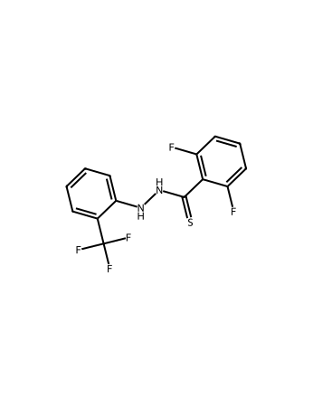 Fc1cccc(F)c1C(=S)NNc1ccccc1C(F)(F)F